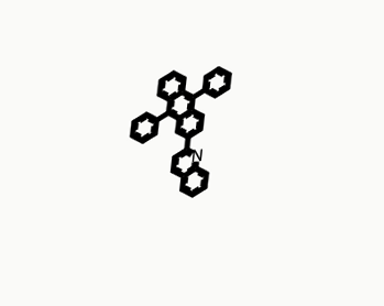 c1ccc(-c2c3ccccc3c(-c3ccccc3)c3cc(-c4ccc5ccccc5n4)ccc23)cc1